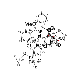 COc1ccccc1C(NCc1cccc(C(=O)O)c1[C@@H](Cc1c(Cl)c[n+]([O-])cc1Cl)c1ccc(OC(F)F)c(OCC2CC2)c1)C(=O)O[C@H]1CN2CCC1CC2